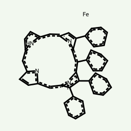 C1=Cc2cc3[nH]c(c(-c4ccccc4)c4nc(cc5ccc(cc1n2)[nH]5)C=C4c1ccccc1)c(-c1ccccc1)c3-c1ccccc1.[Fe]